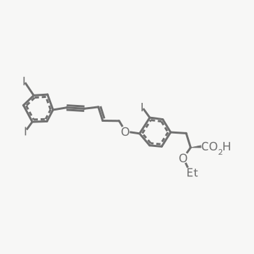 CCO[C@@H](Cc1ccc(OC/C=C/C#Cc2cc(I)cc(I)c2)c(I)c1)C(=O)O